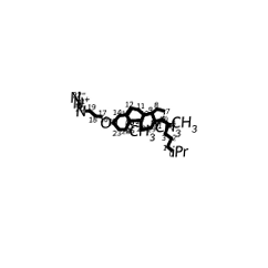 CC(C)CCC[C@@H](C)[C@H]1CCC2C3CC=C4C[C@@H](OCCCN=[N+]=[N-])CC[C@]4(C)C3CC[C@@]21C